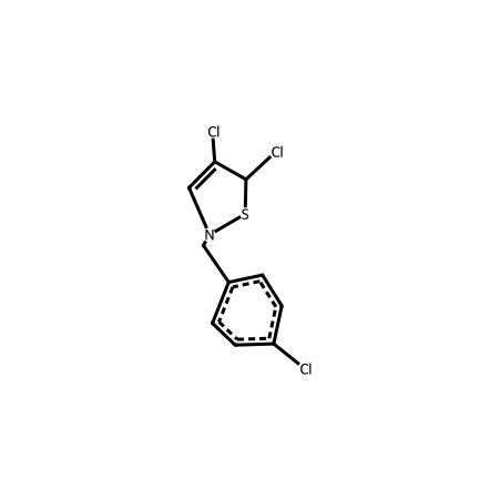 ClC1=CN(Cc2ccc(Cl)cc2)SC1Cl